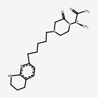 CC(=O)[C@@H](C)N1CCN(CCCCCc2ccc3c(n2)NCCC3)CC1=O